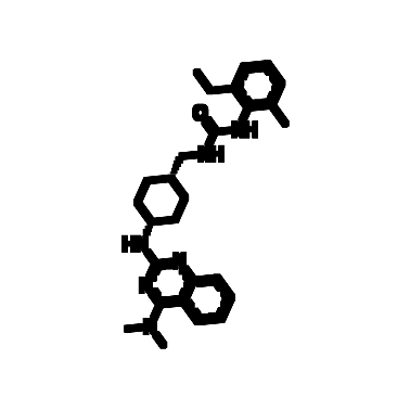 CCc1cccc(C)c1NC(=O)NC[C@H]1CC[C@@H](Nc2nc(N(C)C)c3ccccc3n2)CC1